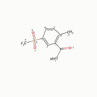 COC(=O)c1cc(S(=O)(=O)C(F)(F)F)ccc1C